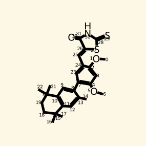 COc1cc(OC)c(-c2cc3c(cc2C)C(C)(C)CCC3(C)C)cc1/C=C1\SC(=S)NC1=O